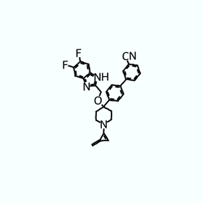 C=C1C=C1N1CCC(OCc2nc3cc(F)c(F)cc3[nH]2)(c2ccc(-c3cccc(C#N)c3)cc2)CC1